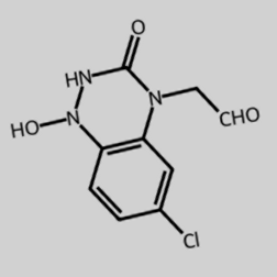 O=CCN1C(=O)NN(O)c2ccc(Cl)cc21